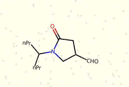 CCCC(CCC)N1CC(C=O)CC1=O